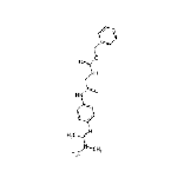 C/C(=N\c1ccc(NC(=O)CNC(=O)OCc2ccccc2)cc1)N(C)C